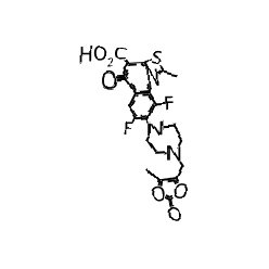 Cc1oc(=O)oc1CN1CCN(c2c(F)cc3c(=O)c(C(=O)O)c4n(c3c2F)C(C)S4)CC1